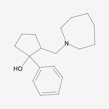 OC1(c2ccccc2)CCCC1CN1CCCCCC1